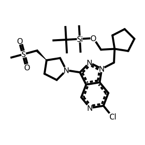 CC(C)(C)[Si](C)(C)OCC1(Cn2nc(N3CC[C@@H](CS(C)(=O)=O)C3)c3cnc(Cl)cc32)CCCC1